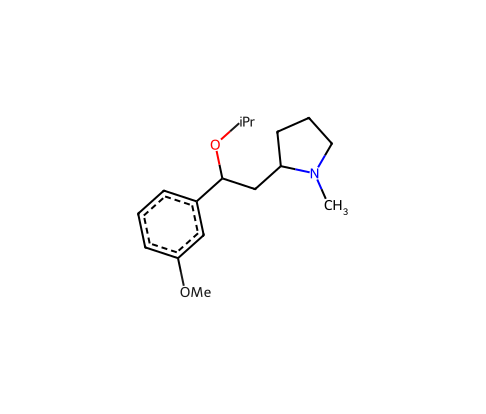 COc1cccc(C(CC2CCCN2C)OC(C)C)c1